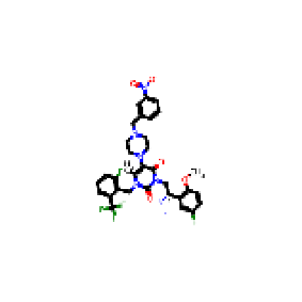 COc1ccc(F)cc1[C@H](N)Cn1c(=O)c(N2CCN(Cc3cccc([N+](=O)[O-])c3)CC2)c(C)n(Cc2c(F)cccc2C(F)(F)F)c1=O